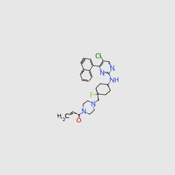 C=CC(=O)N1CCN(CC2(F)CCC(Nc3ncc(Cl)c(-c4cc#cc5ccccc45)n3)CC2)CC1